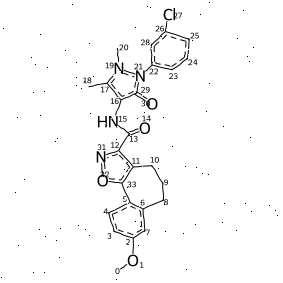 COc1ccc2c(c1)CCCc1c(C(=O)Nc3c(C)n(C)n(-c4cccc(Cl)c4)c3=O)noc1-2